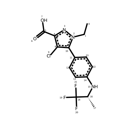 CCn1nc(C(=O)O)c(Cl)c1-c1ccc(N[C@H](C)C(F)(F)F)cc1